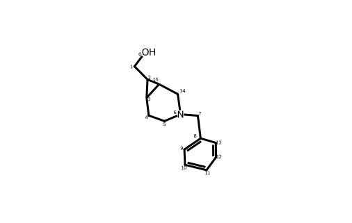 OCC1C2CCN(Cc3ccccc3)CC12